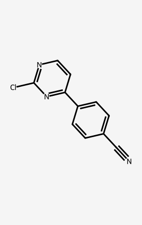 N#Cc1ccc(-c2ccnc(Cl)n2)cc1